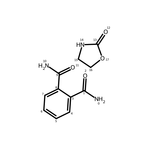 NC(=O)c1ccccc1C(N)=O.O=C1NCCO1